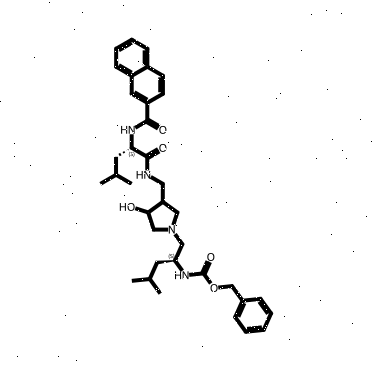 CC(C)C[C@@H](CN1CC(O)C(CNC(=O)[C@H](CC(C)C)NC(=O)c2ccc3ccccc3c2)C1)NC(=O)OCc1ccccc1